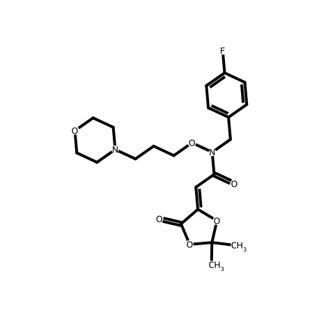 CC1(C)OC(=O)/C(=C/C(=O)N(Cc2ccc(F)cc2)OCCCN2CCOCC2)O1